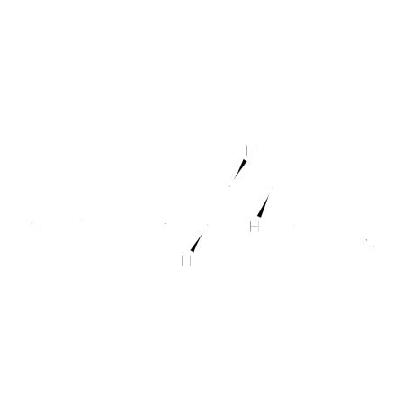 CC(=O)[C@H]1CC[C@H]2[C@H]3CCC4=CC(=O)CCC4(C)[C@H]3CCC12C